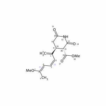 C=C(/C=C\C=C(/C)OC)[C@H]1CC(=O)NC(=O)[C@@H]1C(=O)OC